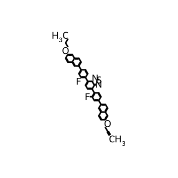 CC#CCOc1ccc2cc(-c3ccc(-c4ccc(-c5ccc(-c6ccc7cc(OCCCC)ccc7c6)cc5F)c5nsnc45)c(F)c3)ccc2c1